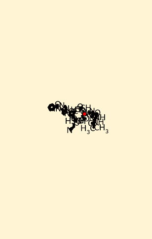 CC(C)C(=O)Nc1nc2c(ncn2[C@@H]2O[C@@H]3CO[PH](S)(OCCC#N)O[C@H]4C[C@H](n5ccc6c(NC(=O)c7ccccc7)ncnc65)O[C@@H]4COP(=O)(S)O[C@@H]2C3)c(=O)[nH]1